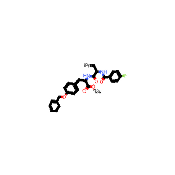 CC(C)CC(NC(=O)c1ccc(F)cc1)C(=O)NC(Cc1ccc(OCc2ccccc2)cc1)C(=O)OC(C)(C)C